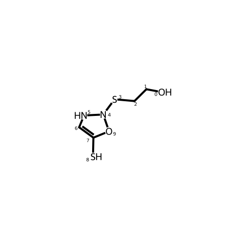 OCCSN1NC=C(S)O1